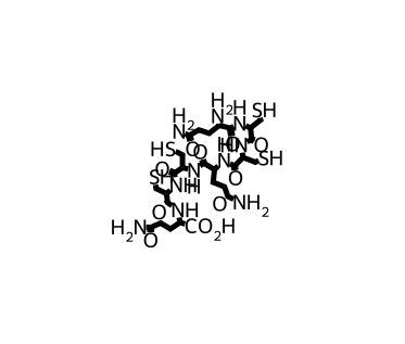 NC(=O)CCC(N)C(=O)NC(CS)C(=O)NC(CS)C(=O)NC(CCC(N)=O)C(=O)NC(CS)C(=O)NC(CS)C(=O)NC(CCC(N)=O)C(=O)O